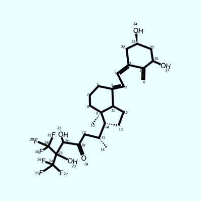 C=C1/C(=C\C=C2CCC[C@@]3(C)C2CC[C@@H]3[C@H](C)CC(=O)C(O)C(O)(C(F)(F)F)C(F)(F)F)C[C@@H](O)CC1O